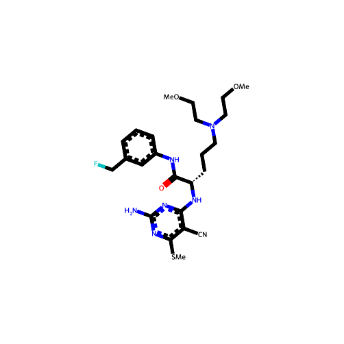 COCCN(CCC[C@H](Nc1nc(N)nc(SC)c1C#N)C(=O)Nc1cccc(CF)c1)CCOC